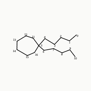 CCCCCC1(CCCCC)CCCCCC1